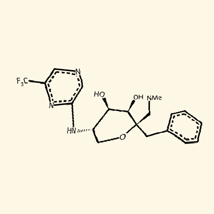 CNC[C@@]1(Cc2ccccc2)OC[C@H](Nc2cncc(C(F)(F)F)n2)[C@@H](O)[C@H]1O